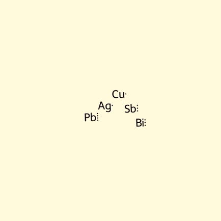 [Ag].[Bi].[Cu].[Pb].[Sb]